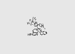 Cc1nc(C(C)(C)F)oc1C(=O)N1CCc2[nH]cnc2[C@@H]1c1ccc2ccccc2n1